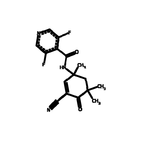 CC1(NC(=O)c2c(F)cncc2F)C=C(C#N)C(=O)C(C)(C)C1